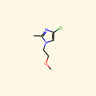 COCCn1cc(Cl)nc1C